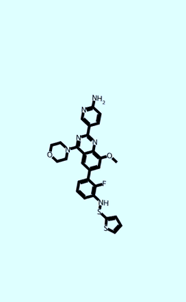 COc1cc(-c2cccc(NSc3cccs3)c2F)cc2c(N3CCOCC3)nc(-c3ccc(N)nc3)nc12